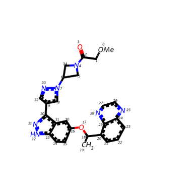 COCC(=O)N1CC(n2cc(-c3n[nH]c4ccc(OC(C)c5cccc6nccnc56)cc34)cn2)C1